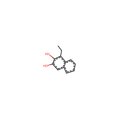 CCc1c(O)c(O)cc2ccccc12